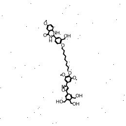 COc1ccc2c(c1)C(=O)NC(c1ccc(OCCCCCCCCCOc3c(OC)cc(-c4cc(-c5cc(CO)c(CO)c(CO)c5)on4)cc3OC)c(CO)c1)N2